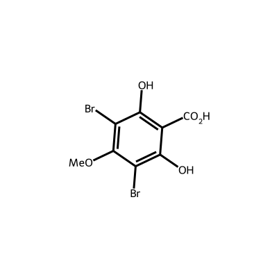 COc1c(Br)c(O)c(C(=O)O)c(O)c1Br